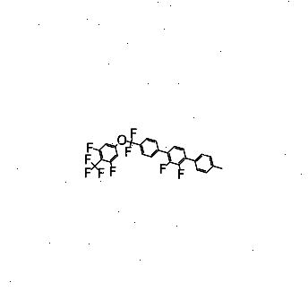 Cc1ccc(-c2ccc(-c3ccc(C(F)(F)Oc4cc(F)c(C(F)(F)F)c(F)c4)cc3)c(F)c2F)cc1